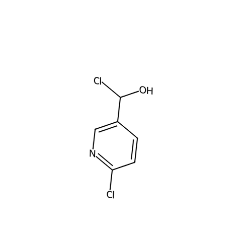 OC(Cl)c1ccc(Cl)nc1